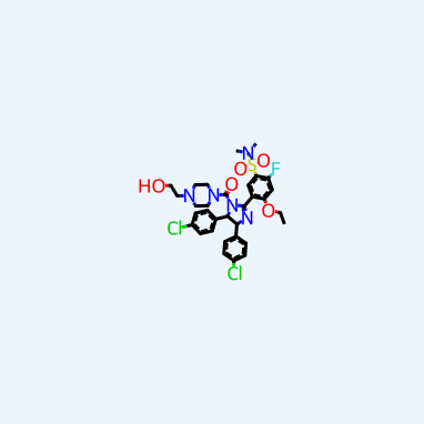 CCOc1cc(F)c(S(=O)(=O)N(C)C)cc1C1=NC(c2ccc(Cl)cc2)C(c2ccc(Cl)cc2)N1C(=O)N1CCN(CCO)CC1